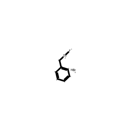 Br.[F][Zn][CH2]c1ccccc1